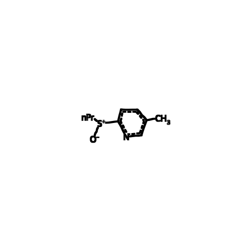 CCC[S+]([O-])c1ccc(C)cn1